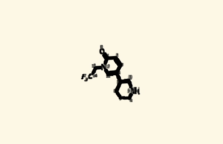 O=c1ccc(C2CCCNC2)cn1CC(F)(F)F